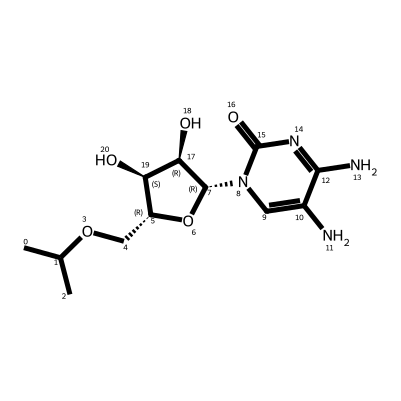 CC(C)OC[C@H]1O[C@@H](n2cc(N)c(N)nc2=O)[C@H](O)[C@@H]1O